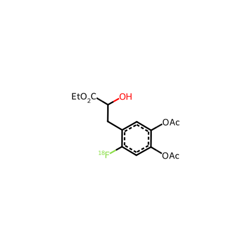 CCOC(=O)C(O)Cc1cc(OC(C)=O)c(OC(C)=O)cc1[18F]